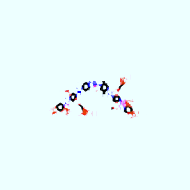 CCOc1cc(N=Nc2cc(C)c(NC(=O)Nc3cc(C)c(N=Nc4cc(OCC)c(N=Nc5ccc(S(=O)(=O)O)cc5S(=O)(=O)O)cc4OCCCS(=O)(=O)O)cc3C)cc2C)c(OCCCS(=O)(=O)O)cc1N=NC1=CCC(C)(S(=O)(=O)O)C=C1S(=O)(=O)O